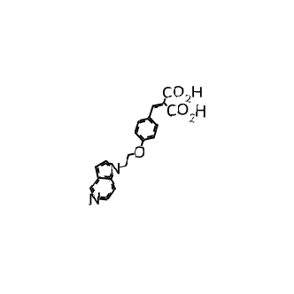 O=C(O)C(=Cc1ccc(OCCn2ccc3cnccc32)cc1)C(=O)O